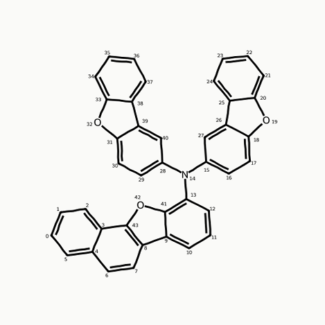 c1ccc2c(c1)ccc1c3cccc(N(c4ccc5oc6ccccc6c5c4)c4ccc5oc6ccccc6c5c4)c3oc21